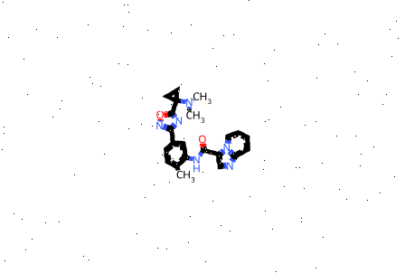 Cc1ccc(-c2noc(C3(N(C)C)CC3)n2)cc1NC(=O)c1cnc2ccccn12